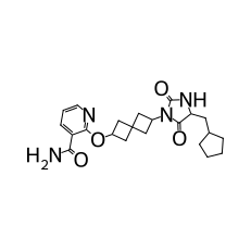 NC(=O)c1cccnc1OC1CC2(C1)CC(N1C(=O)NC(CC3CCCC3)C1=O)C2